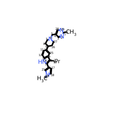 Cc1ncc(CN2CCC(c3ccc4[nH]c(-c5ccn(C)c5)c(C(C)C)c4c3)CC2)cn1